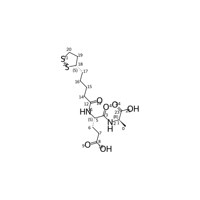 C[C@@H](NC(=O)[C@H](CCC(=O)O)NC(=O)CCCC[C@H]1CCSS1)C(=O)O